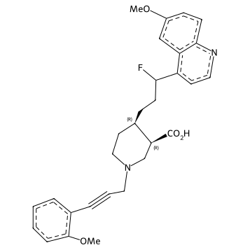 COc1ccc2nccc(C(F)CC[C@@H]3CCN(CC#Cc4ccccc4OC)C[C@@H]3C(=O)O)c2c1